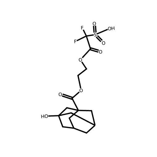 O=C(OCCOC(=O)C(F)(F)S(=O)(=O)O)C12CC3CC(CC(O)(C3)C1)C2